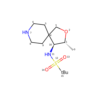 C[C@H]1OCC2(CCNCC2)[C@@H]1NS(=O)(=O)C(C)(C)C